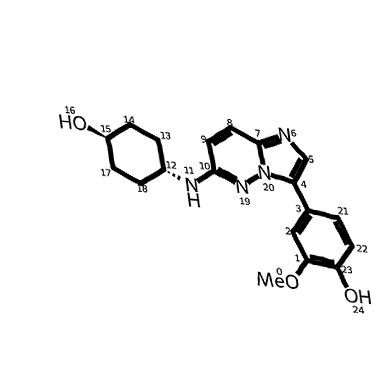 COc1cc(-c2cnc3ccc(N[C@H]4CC[C@H](O)CC4)nn23)ccc1O